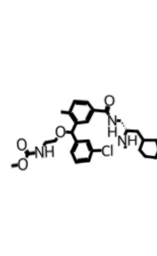 CN[C@H](CNC(=O)c1ccc(C)c(C(OCCNC(=O)OC)c2cccc(Cl)c2)c1)CC1CCCCC1